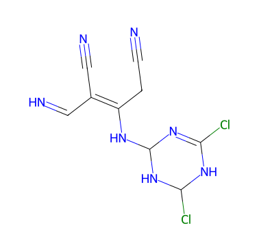 N#CC/C(NC1N=C(Cl)NC(Cl)N1)=C(\C#N)C=N